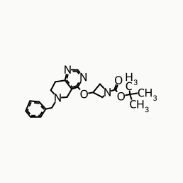 CC(C)(C)OC(=O)N1CC(Oc2ncnc3c2CN(Cc2ccccc2)CC3)C1